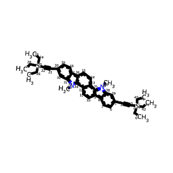 CC[Si](C#Cc1ccc2c3ccc4c(ccc5c6ccc(C#C[Si](CC)(CC)CC)cc6n(C)c54)c3n(C)c2c1)(CC)CC